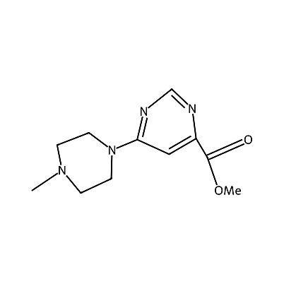 COC(=O)c1cc(N2CCN(C)CC2)ncn1